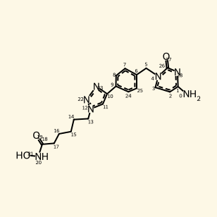 Nc1ccn(Cc2ccc(-c3cn(CCCCCC(=O)NO)nn3)cc2)c(=O)n1